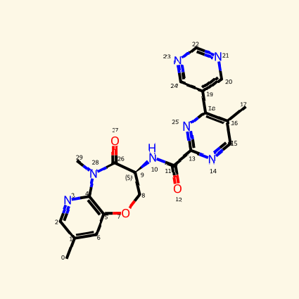 Cc1cnc2c(c1)OC[C@H](NC(=O)c1ncc(C)c(-c3cncnc3)n1)C(=O)N2C